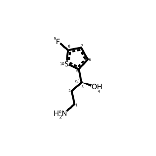 NCC[C@H](O)c1ccc(F)s1